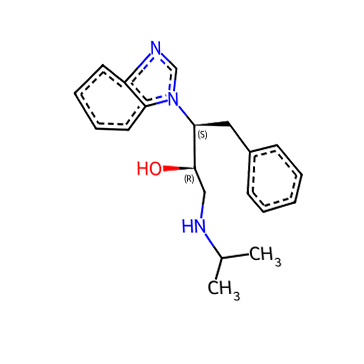 CC(C)NC[C@@H](O)[C@H](Cc1ccccc1)n1cnc2ccccc21